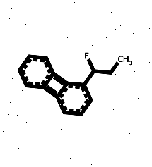 CCC(F)c1cccc2c1=c1ccccc1=2